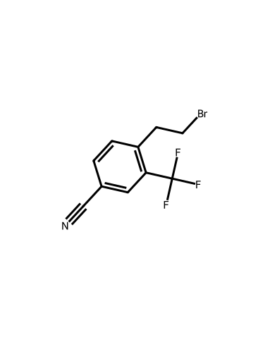 N#Cc1ccc(CCBr)c(C(F)(F)F)c1